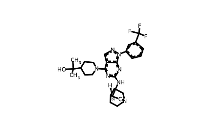 CC(C)(O)C1CCN(c2nc(N[C@@H]3CN4CCC3CC4)nc3c2cnn3-c2cccc(C(F)(F)F)c2)CC1